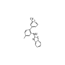 Cc1ccc(-c2cccc(C(F)(F)F)c2)c(Nc2nc3ccccc3s2)c1